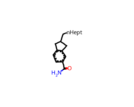 CCCCCCCCC1Cc2ccc(C(N)=O)cc2C1